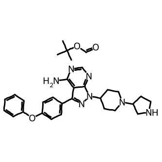 CC(C)(C)OC=O.Nc1ncnc2c1c(-c1ccc(Oc3ccccc3)cc1)nn2C1CCN(C2CCNC2)CC1